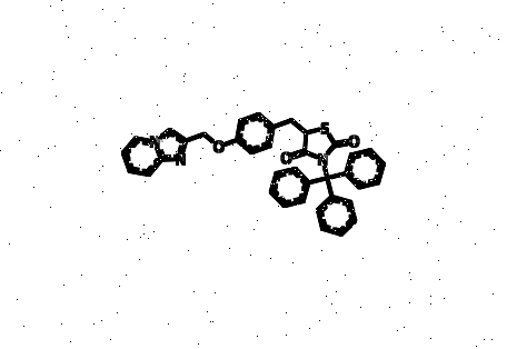 O=C1SC(Cc2ccc(OCc3cn4ccccc4n3)cc2)C(=O)N1C(c1ccccc1)(c1ccccc1)c1ccccc1